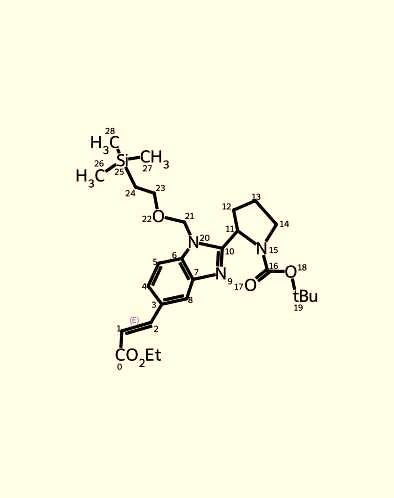 CCOC(=O)/C=C/c1ccc2c(c1)nc(C1CCCN1C(=O)OC(C)(C)C)n2COCC[Si](C)(C)C